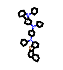 c1ccc(N(c2ccc(N(c3ccccc3)c3cccc4c3sc3ccc5ccccc5c34)cc2)c2ccc3c4ccccc4n(-c4ccccc4)c3c2)cc1